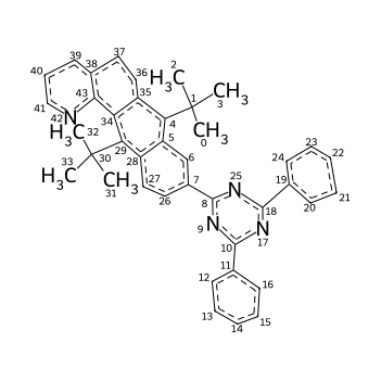 CC(C)(C)c1c2cc(-c3nc(-c4ccccc4)nc(-c4ccccc4)n3)ccc2c(C(C)(C)C)c2c1ccc1cccnc12